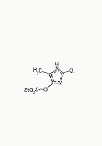 CCOC(=O)Oc1nc(Cl)[nH]c1C